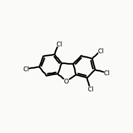 Clc1cc(Cl)c2c(c1)oc1c(Cl)c(Cl)c(Cl)cc12